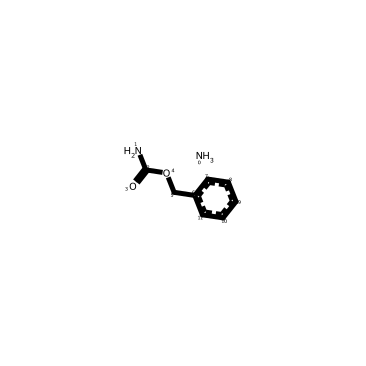 N.NC(=O)OCc1ccccc1